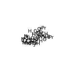 CC(C)OC(=O)[C@H](C)NP(=S)(N[C@@H](C)C(=O)OC(C)C)OC[C@@]1(C(F)F)O[C@@H](n2cnc3ncnc(N)c32)[C@H](O)[C@@H]1O